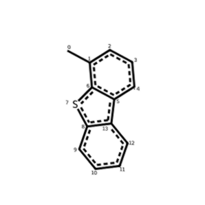 Cc1cc[c]c2c1sc1ccccc12